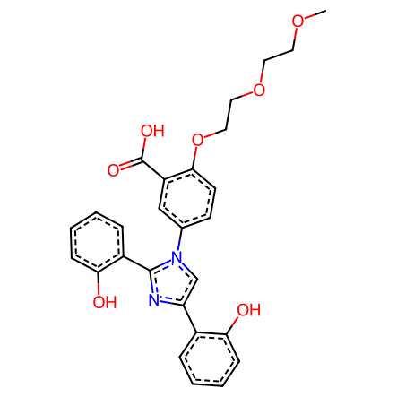 COCCOCCOc1ccc(-n2cc(-c3ccccc3O)nc2-c2ccccc2O)cc1C(=O)O